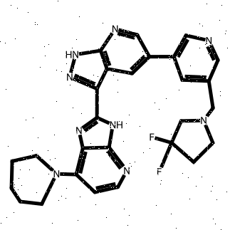 FC1(F)CCN(Cc2cncc(-c3cnc4[nH]nc(-c5nc6c(N7CCCCC7)ccnc6[nH]5)c4c3)c2)C1